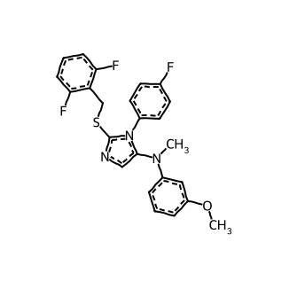 COc1cccc(N(C)c2cnc(SCc3c(F)cccc3F)n2-c2ccc(F)cc2)c1